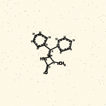 CC1C(=O)N[N+]1=C(c1ccccc1)c1ccccc1